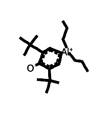 CC(C)(C)c1cccc(C(C)(C)C)c1[O-].CC[CH2][Al+][CH2]CC